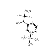 CCOC(=O)C(F)(F)C(O)c1cccc([Si](C)(C)C)c1